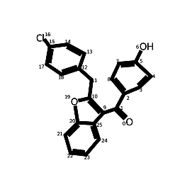 O=C(c1ccc(O)cc1)c1c(Cc2ccc(Cl)cc2)oc2ccccc12